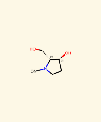 O=NN1CC[C@H](O)[C@H]1CO